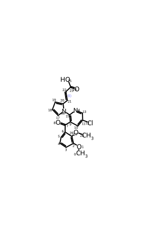 COc1cccc(C(=O)c2cc(Cl)cnc2-n2cccc2/C=C/C(=O)O)c1OC